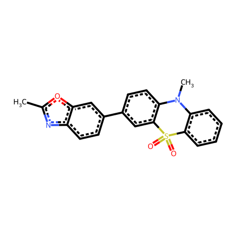 Cc1nc2ccc(-c3ccc4c(c3)S(=O)(=O)c3ccccc3N4C)cc2o1